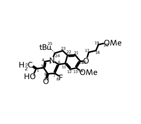 C=C(O)c1cn2c(c(F)c1=O)-c1cc(OC)c(OCCCOC)cc1C[C@H]2C(C)(C)C